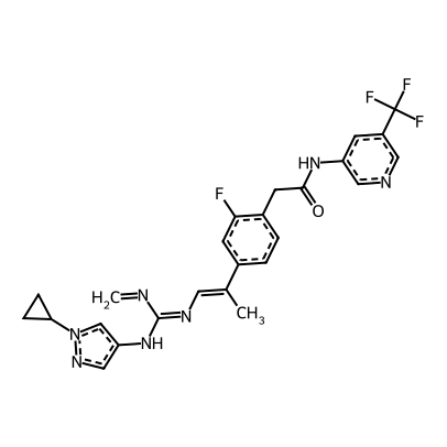 C=N/C(=N\C=C(/C)c1ccc(CC(=O)Nc2cncc(C(F)(F)F)c2)c(F)c1)Nc1cnn(C2CC2)c1